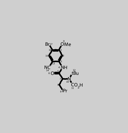 COc1cc(NC(=O)C(CC(C)C)N(C(=O)O)C(C)(C)C)c(C#N)cc1Br